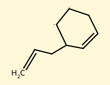 C=CCC1[CH][CH]CC=C1